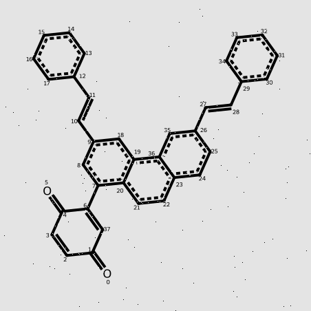 O=C1C=CC(=O)C(c2cc(C=Cc3ccccc3)cc3c2ccc2ccc(C=Cc4ccccc4)cc23)=C1